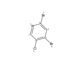 Clc1cnc(Br)cc1Br